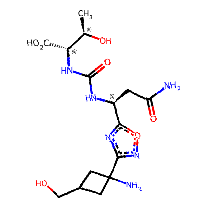 C[C@@H](O)[C@H](NC(=O)N[C@@H](CC(N)=O)c1nc(C2(N)CC(CO)C2)no1)C(=O)O